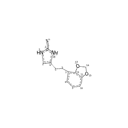 S=c1[nH]cc(CCc2cccc3c2OCO3)[nH]1